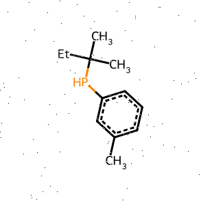 CCC(C)(C)Pc1cccc(C)c1